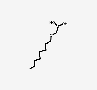 CCCCCCCCOCB(O)O